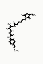 CCC(C)SC1CC(=O)N(CCCCCC(=O)NC(C(=O)NCC(=O)Nc2ccc(COC=O)cc2)C(C)C)C1=O